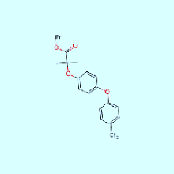 CC(C)OC(=O)C(C)(C)Oc1ccc(Oc2ccc(C(F)(F)F)cc2)cc1